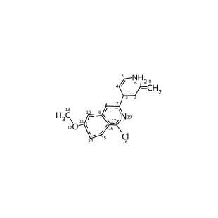 C=C/C=C(\C=C/N)c1cc2cc(OC)ccc2c(Cl)n1